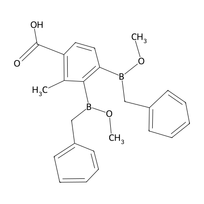 COB(Cc1ccccc1)c1ccc(C(=O)O)c(C)c1B(Cc1ccccc1)OC